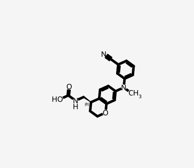 CN(c1cccc(C#N)c1)c1ccc2c(c1)OCC[C@H]2CNC(=O)O